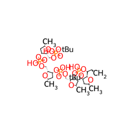 C=CC(OP(=O)(O)O[C@@H]1C[C@H](C)O[C@@H]1COP(=O)(O)O[C@@H]1C[C@H](C)O[C@@H]1COP(=O)(O)O[C@@H]1C[C@H](C)O[C@@H]1COP(=O)(O)OC(C)(C)C)[C@H]1O[C@@H](C)C[C@H]1C(C)(C)C